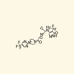 O=C(CON=CC(Nc1cn[nH]c(=O)c1C(F)(F)F)C1CC1)N1CCN(c2ncc(C(F)(F)F)cn2)CC1